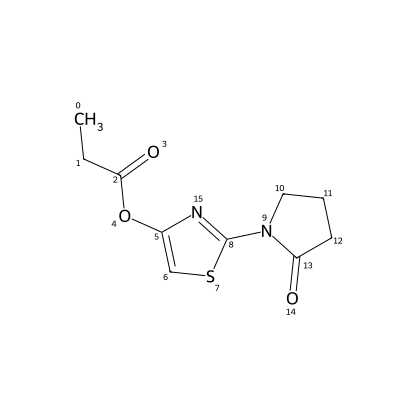 CCC(=O)Oc1csc(N2CCCC2=O)n1